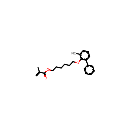 C=C(C)C(=O)OCCCCCCOc1c(C#N)cccc1-c1ccccc1